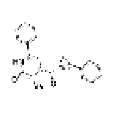 CCC[C@H]1C(=O)N[C@@H](c2ccccc2)CN1C(=O)[C@@H]1C[C@H]1c1ccccc1